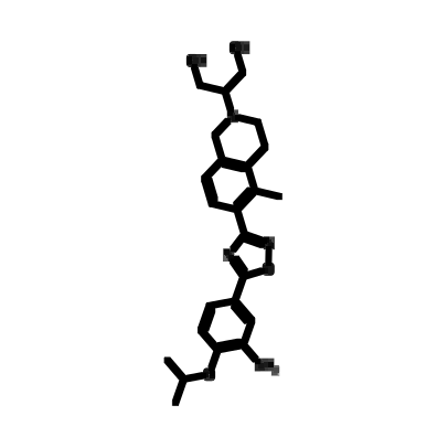 Cc1c(-c2noc(-c3ccc(OC(C)C)c(N)c3)n2)ccc2c1CCN(C(CO)CO)C2